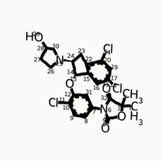 CC1(C)OC(=O)N(c2ccc(Cl)c(O[C@H]3c4cc(Cl)cc(Cl)c4C[C@@H]3N3CCC(O)C3)c2)C1=O